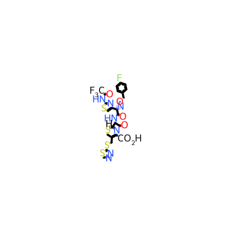 O=C(O)C1=C(CSc2nncs2)CS[C@@H]2C(NC(=O)/C(=N/OCc3ccc(F)cc3)c3csc(NC(=O)C(F)(F)F)n3)C(=O)N12